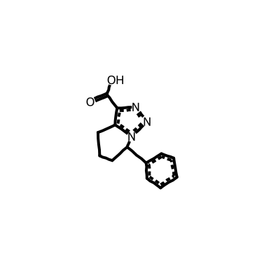 O=C(O)c1nnn2c1CCCC2c1ccccc1